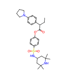 CCC(C(=O)Oc1ccc(S(=O)(=O)NC2CC(C)(C)NC(C)(C)C2)cc1)c1ccc(N2CCCC2)cc1